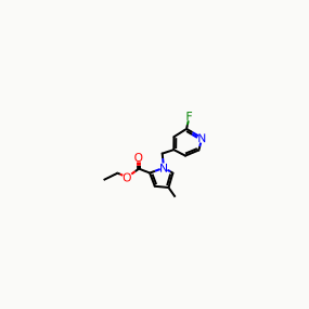 CCOC(=O)c1cc(C)cn1Cc1ccnc(F)c1